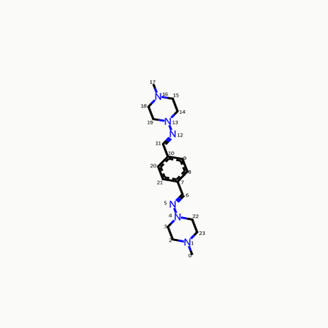 CN1CCN(N=Cc2ccc(C=NN3CCN(C)CC3)cc2)CC1